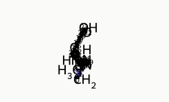 C=C/C=C(\C)Cc1nc(Nc2ccc(OCCCCCCC(=O)O)cc2)nc2[nH]cnc12